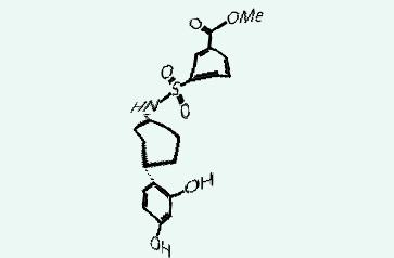 COC(=O)c1cccc(S(=O)(=O)N[C@H]2CC[C@@H](c3ccc(O)cc3O)CC2)c1